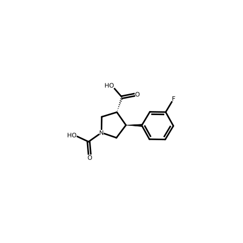 O=C(O)[C@H]1CN(C(=O)O)C[C@@H]1c1cccc(F)c1